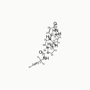 CC#CC(C)(C)NC(=O)[C@H]1CC[C@H]2[C@@H]3CC[C@H]4NC(=O)C=C[C@]4(C)[C@H]3CC[C@]12C